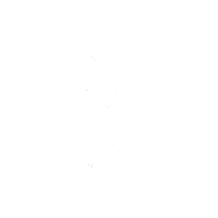 N#CC1CCN(C(=O)[CH]C2(C(N)=O)CCCC2)CC1